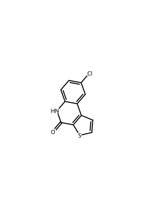 O=c1[nH]c2ccc(Cl)cc2c2ccsc12